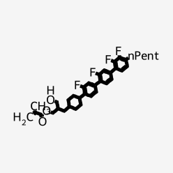 C=C(C)C(=O)OCC(CO)CC1CCC(c2ccc(-c3ccc(-c4ccc(CCCCC)c(F)c4F)cc3F)cc2F)CC1